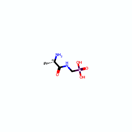 CC(C)[C@H](N)C(=O)NCP(=O)(O)O